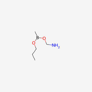 CCCOB(C)OCN